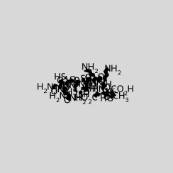 C[C@@H](O)[C@H](NC(=O)[C@H](CCC(=O)O)NC(=O)[C@H](CCCCN)NC(=O)[C@H](CCCCN)NC(=O)[C@H](CS)NC(=O)[C@H](CS)NC(=O)[C@H](CS)NC(=O)[C@H](CS)NC(=O)[C@H](CC(N)=O)NC(=O)[C@@H](N)CC(N)=O)C(=O)O